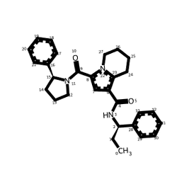 CC[C@@H](NC(=O)c1cc(C(=O)N2CCC[C@H]2c2ccccc2)n2c1CCCC2)c1ccccc1